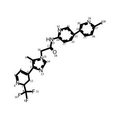 Cc1c(C2=CC=NC(C(F)(F)F)C2)ncn1CC(=O)Nc1ccc(-c2ccc(I)nc2)cn1